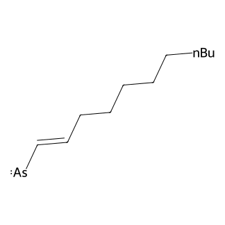 CCCCCCCCC/C=C/[As]